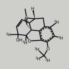 [2H]c1c([2H])c(OC([2H])([2H])[2H])c2c3c1C[C@@H]1[C@@H]4C=CC([2H])(O)C([2H])(O2)[C@]34CCN1C